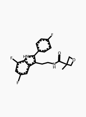 CC1(C(=O)NCCc2c(-c3ccc(F)cc3)[nH]c3c(F)cc(F)cc23)COC1